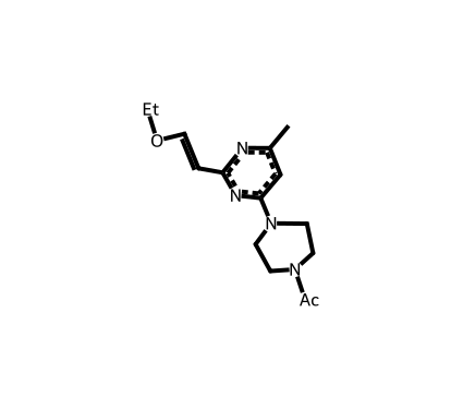 CCO/C=C/c1nc(C)cc(N2CCN(C(C)=O)CC2)n1